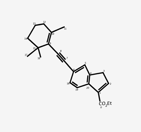 CCOC(=O)C1=CCc2cc(C#CC3=C(C)CCCC3(C)C)ccc21